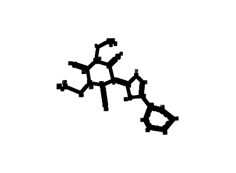 CCN1C(=O)C(=C2SC=C(c3ccccc3)S2)C(=O)N(CC)C1=O